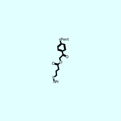 CCCCCc1ccc(C(=O)COC(=O)CCCSCCC)cc1